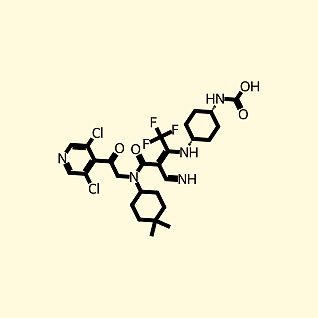 CC1(C)CCC(N(CC(=O)c2c(Cl)cncc2Cl)C(=O)/C(C=N)=C(/N[C@H]2CC[C@@H](NC(=O)O)CC2)C(F)(F)F)CC1